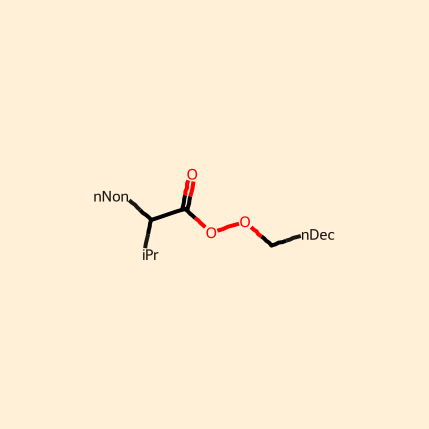 CCCCCCCCCCCOOC(=O)C(CCCCCCCCC)C(C)C